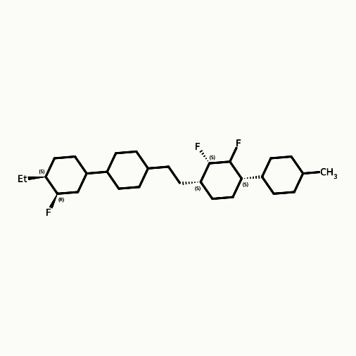 CC[C@H]1CCC(C2CCC(CC[C@H]3CC[C@@H](C4CCC(C)CC4)C(F)[C@H]3F)CC2)C[C@H]1F